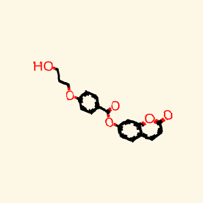 O=C(Oc1ccc2ccc(=O)oc2c1)c1ccc(OCCCO)cc1